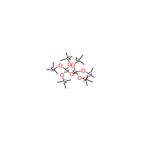 C[Si](C)(C)O[Si](O[Si](C)(C)C)(O[Si](C)(C)C)O[Si](O[Si](C)(C)C)(O[Si](C)(C)C)O[Si](C)(C)C